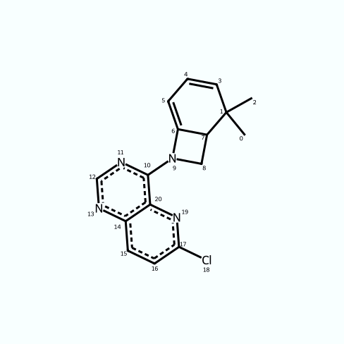 CC1(C)C=CC=C2C1CN2c1ncnc2ccc(Cl)nc12